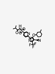 CC1CCCC(Oc2c(C#N)c(C(F)(F)F)nn2-c2ccc(S(=O)(=O)NC(=O)C(C)C)cn2)C1